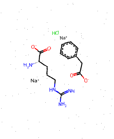 Cl.N=C(N)NCCC[C@H](N)C(=O)[O-].O=C([O-])Cc1ccccc1.[Na+].[Na+]